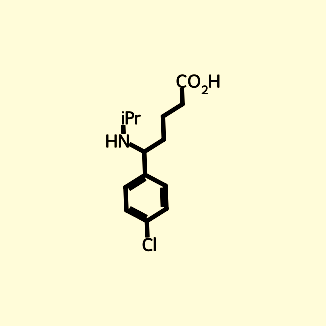 CC(C)NC(CCCC(=O)O)c1ccc(Cl)cc1